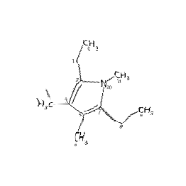 CCc1c(C)c(C)c(CC)n1C